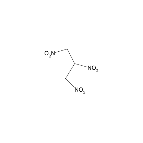 O=[N+]([O-])CC(C[N+](=O)[O-])[N+](=O)[O-]